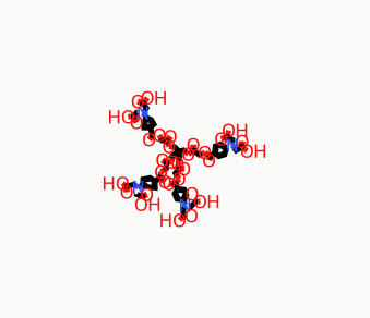 O=C(O)CN(CC(=O)O)c1ccc(C(=O)OCC(=O)OCC(COC(=O)COC(=O)c2ccc(N(CC(=O)O)CC(=O)O)cc2)(COC(=O)COC(=O)c2ccc(N(CC(=O)O)CC(=O)O)cc2)COC(=O)COC(=O)c2ccc(N(CC(=O)O)CC(=O)O)cc2)cc1